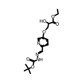 CCOC(=O)C(O)COc1ccc(C=NNC(=O)OC(C)(C)C)nc1